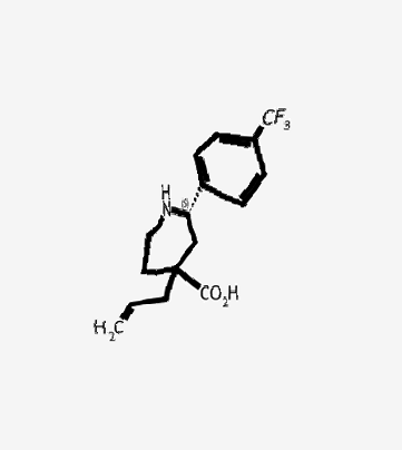 C=CCC1(C(=O)O)CCN[C@H](c2ccc(C(F)(F)F)cc2)C1